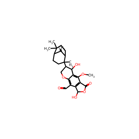 C=C1C2CCC(C)(C3COc4c(C=O)c5c(c(OC)c4C3O)C(=O)OC5O)C1CCC2(C)C